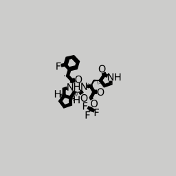 O=C1NCC[C@H]1C[C@H](NC(=O)[C@@H]1[C@H]2CCC[C@H]2CN1C(=O)[CH]c1ccccc1F)C(=O)COC(F)(F)F